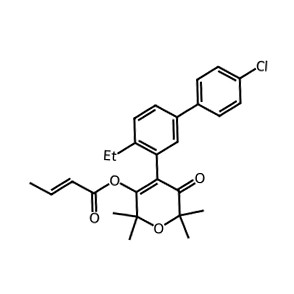 C/C=C/C(=O)OC1=C(c2cc(-c3ccc(Cl)cc3)ccc2CC)C(=O)C(C)(C)OC1(C)C